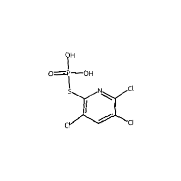 O=P(O)(O)Sc1nc(Cl)c(Cl)cc1Cl